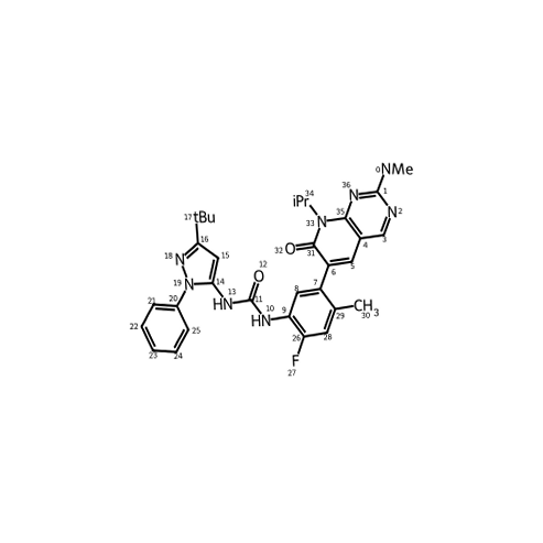 CNc1ncc2cc(-c3cc(NC(=O)Nc4cc(C(C)(C)C)nn4-c4ccccc4)c(F)cc3C)c(=O)n(C(C)C)c2n1